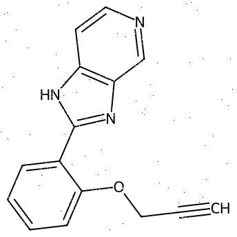 C#CCOc1ccccc1-c1nc2cnccc2[nH]1